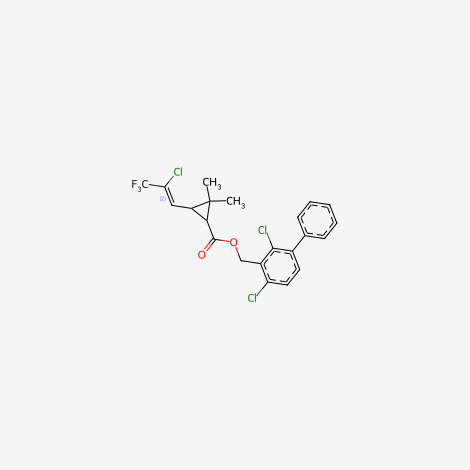 CC1(C)C(/C=C(\Cl)C(F)(F)F)C1C(=O)OCc1c(Cl)ccc(-c2ccccc2)c1Cl